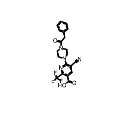 N#Cc1cc(C(=O)O)c(C(F)(F)F)nc1N1CCN(C(=O)Cc2ccccc2)CC1